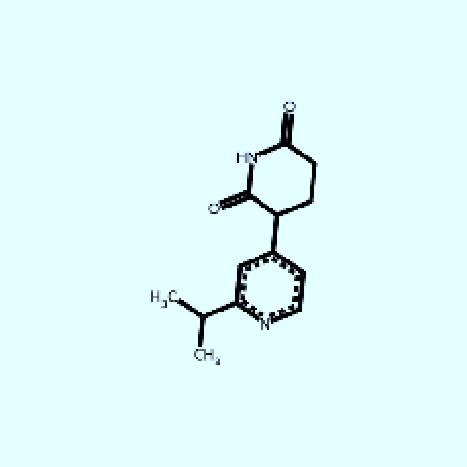 CC(C)c1cc(C2CCC(=O)NC2=O)ccn1